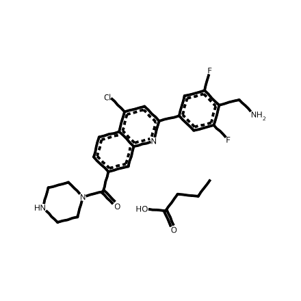 CCCC(=O)O.NCc1c(F)cc(-c2cc(Cl)c3ccc(C(=O)N4CCNCC4)cc3n2)cc1F